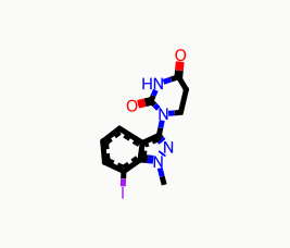 Cn1nc(N2CCC(=O)NC2=O)c2cccc(I)c21